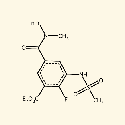 CCCN(C)C(=O)c1cc(NS(C)(=O)=O)c(F)c(C(=O)OCC)c1